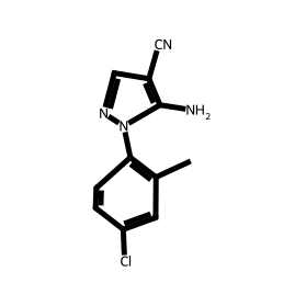 Cc1cc(Cl)ccc1-n1ncc(C#N)c1N